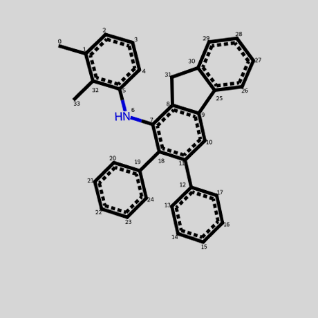 Cc1cccc(Nc2c3c(cc(-c4ccccc4)c2-c2ccccc2)-c2ccccc2C3)c1C